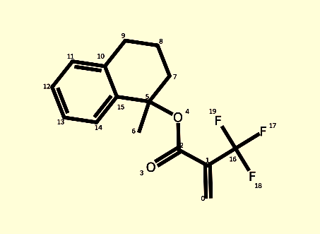 C=C(C(=O)OC1(C)CCCc2ccccc21)C(F)(F)F